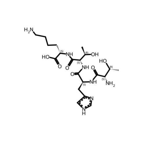 C[C@@H](O)[C@H](N)C(=O)N[C@@H](Cc1c[nH]cn1)C(=O)N[C@H](C(=O)N[C@@H](CCCCN)C(=O)O)[C@@H](C)O